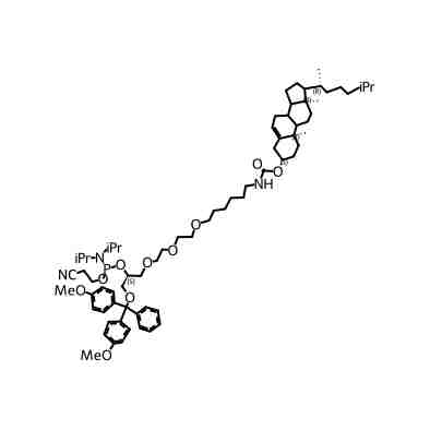 COc1ccc(C(OC[C@H](COCCOCCOCCCCCCNC(=O)O[C@H]2CC[C@@]3(C)C(=CCC4C5CCC([C@H](C)CCCC(C)C)[C@@]5(C)CCC43)C2)OP(OCCC#N)N(C(C)C)C(C)C)(c2ccccc2)c2ccc(OC)cc2)cc1